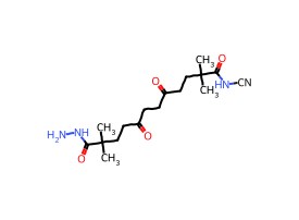 CC(C)(CCC(=O)CCC(=O)CCC(C)(C)C(=O)NC#N)C(=O)NN